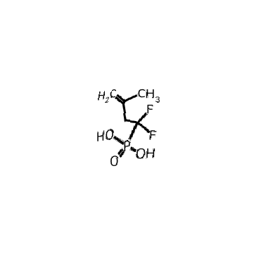 C=C(C)CC(F)(F)P(=O)(O)O